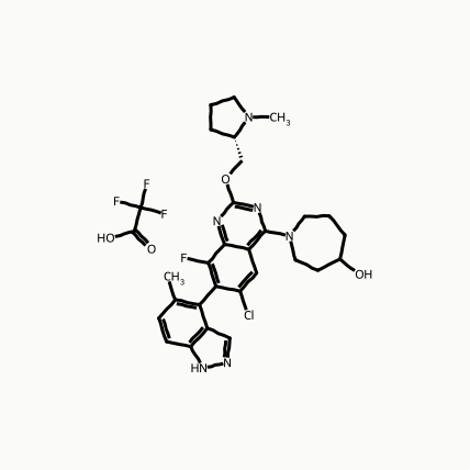 Cc1ccc2[nH]ncc2c1-c1c(Cl)cc2c(N3CCCC(O)CC3)nc(OC[C@@H]3CCCN3C)nc2c1F.O=C(O)C(F)(F)F